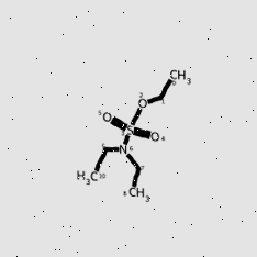 CCOS(=O)(=O)N(CC)CC